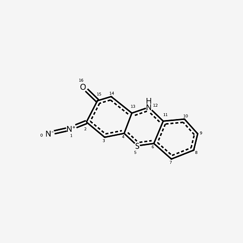 [N-]=[N+]=c1cc2sc3ccccc3[nH]c-2cc1=O